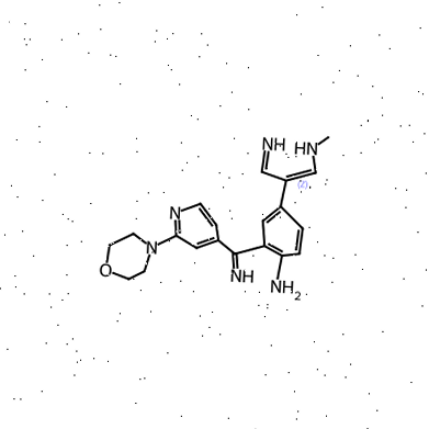 CN/C=C(\C=N)c1ccc(N)c(C(=N)c2ccnc(N3CCOCC3)c2)c1